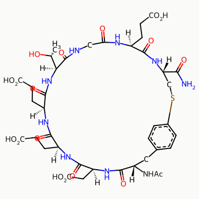 CC(=O)N[C@H]1Cc2ccc(cc2)SC[C@@H](C(N)=O)NC(=O)[C@H](CCC(=O)O)NC(=O)CNC(=O)[C@H]([C@@H](C)O)NC(=O)[C@H](CCC(=O)O)NC(=O)[C@H](CCC(=O)O)NC(=O)[C@H](CC(=O)O)NC1=O